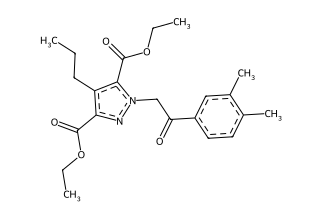 CCCc1c(C(=O)OCC)nn(CC(=O)c2ccc(C)c(C)c2)c1C(=O)OCC